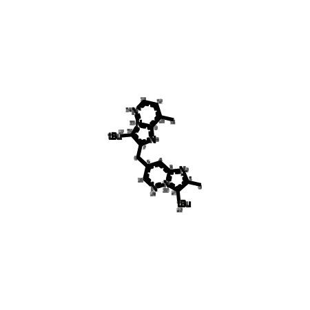 Cc1nc2cc(Cc3nc4c(C)ccnn4c3C(C)(C)C)cnn2c1C(C)(C)C